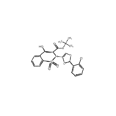 CC(C)(C)OC(=O)C1=C(O)c2ccccc2S(=O)(=O)N1C1=COC(c2ccccc2Cl)O1